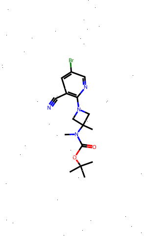 CN(C(=O)OC(C)(C)C)C1(C)CN(c2ncc(Br)cc2C#N)C1